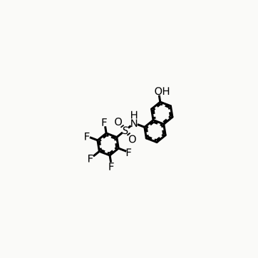 O=S(=O)(Nc1cccc2ccc(O)cc12)c1c(F)c(F)c(F)c(F)c1F